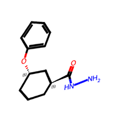 NNC(=O)[C@H]1CCC[C@H](Oc2ccccc2)C1